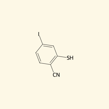 N#Cc1ccc(I)cc1S